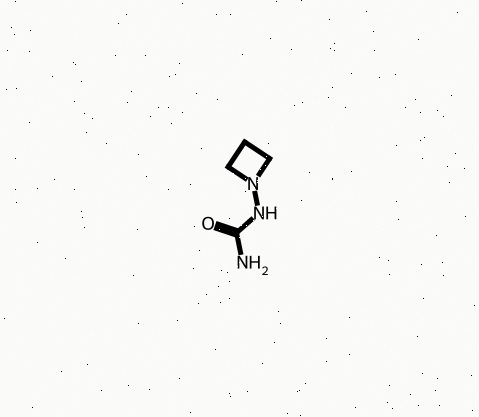 NC(=O)NN1CCC1